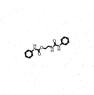 O=C(NCCOC(=O)Nc1ccccc1)Nc1ccccc1